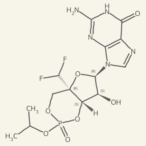 CC(C)OP1(=O)OC[C@@]2(C(F)F)O[C@@H](n3cnc4c(=O)[nH]c(N)nc43)[C@@H](O)[C@@H]2O1